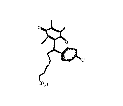 CC1=C(C)C(=O)C(C(CCCCCC(=O)O)c2ccc(Cl)cc2)=C(C)C1=O